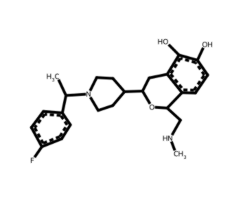 CNCC1OC(C2CCN(C(C)c3ccc(F)cc3)CC2)Cc2c1ccc(O)c2O